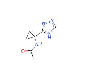 CC(=O)NC1(c2nnc[nH]2)CC1